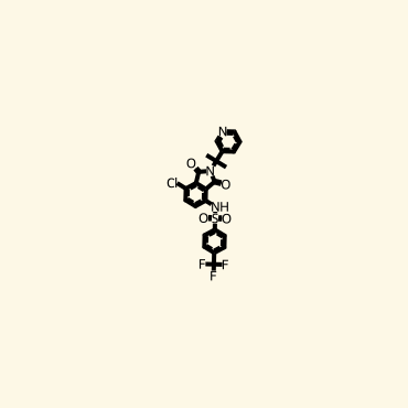 CC(C)(c1cccnc1)N1C(=O)c2c(Cl)ccc(NS(=O)(=O)c3ccc(C(F)(F)F)cc3)c2C1=O